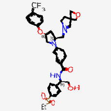 CCS(=O)(=O)c1ccc([C@H](CO)NC(=O)c2ccc(N3C[C@H](Oc4ccc(C(F)(F)F)cc4)C[C@H]3CN3CCC4(COC4)C3)cc2)cc1